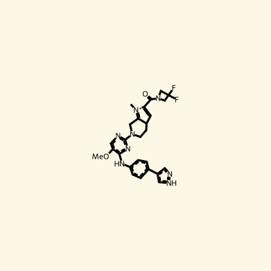 COc1cnc(N2CCC3C=C(C(=O)N4CC(F)(F)C4)[N+](C)=C3C2)nc1Nc1ccc(-c2cn[nH]c2)cc1